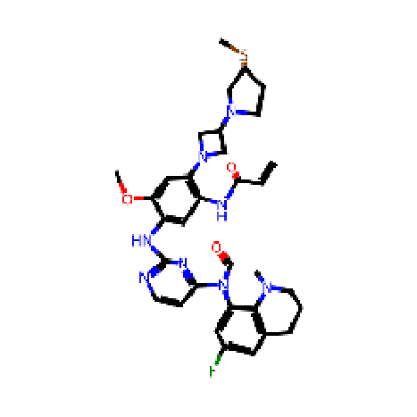 C=CC(=O)Nc1cc(Nc2nccc(N(C=O)c3cc(F)cc4c3N(C)CCC4)n2)c(OC)cc1N1CC(N2CCC(SC)C2)C1